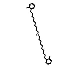 Cc1ccccc1CCCCCCCCCCOCCCCCCCCCCc1ccccc1C